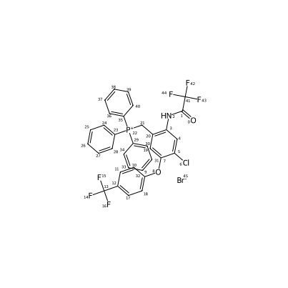 O=C(Nc1cc(Cl)c(Oc2ccc(C(F)(F)F)cc2)cc1C[P+](c1ccccc1)(c1ccccc1)c1ccccc1)C(F)(F)F.[Br-]